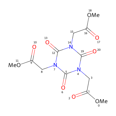 COC(=O)Cn1c(=O)n(CC(=O)OC)c(=O)n(CC(=O)OC)c1=O